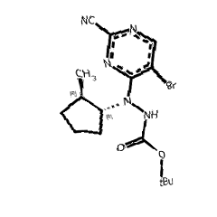 C[C@@H]1CCC[C@H]1N(NC(=O)OC(C)(C)C)c1nc(C#N)ncc1Br